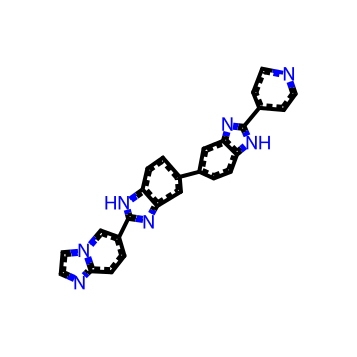 c1cc(-c2nc3cc(-c4ccc5[nH]c(-c6ccc7nccn7c6)nc5c4)ccc3[nH]2)ccn1